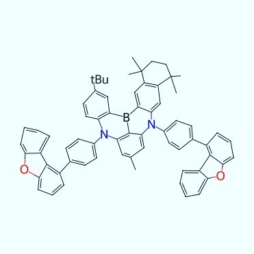 Cc1cc2c3c(c1)N(c1ccc(-c4cccc5oc6ccccc6c45)cc1)c1cc4c(cc1B3c1cc(C(C)(C)C)ccc1N2c1ccc(-c2cccc3oc5ccccc5c23)cc1)C(C)(C)CCC4(C)C